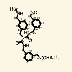 CN(O)Cc1cccc(CNC(=O)N(Cc2cccc(CNO)c2)C(=O)NCc2cccc(CN=O)c2)c1